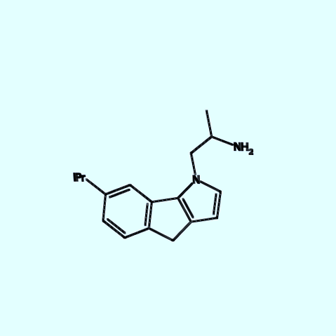 CC(N)Cn1ccc2c1-c1cc(C(C)C)ccc1C2